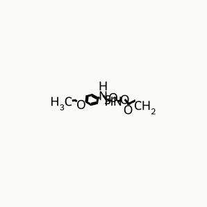 C=CC(=O)ONOSNc1ccc(OCC)cc1